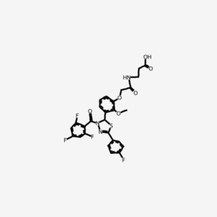 COc1c(OCC(=O)NCCC(=O)O)cccc1C1SC(c2ccc(F)cc2)=NN1C(=O)c1c(F)cc(F)cc1F